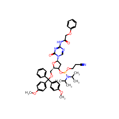 COc1ccc(C(OC[C@H]2O[C@@H](n3cnc(NC(=O)COc4ccccc4)nc3=O)CC2OP(OCCC#N)N(C(C)C)C(C)C)(c2ccccc2)c2ccc(OC)cc2)cc1